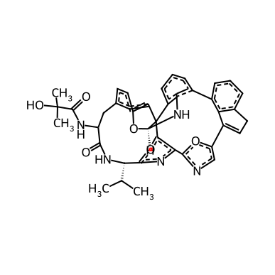 CC(C)[C@@H]1NC(=O)C(NC(=O)C(C)(C)O)Cc2ccc3c(c2)C24c5cccc(c5N[C@H]2O3)-c2cccc3c2C(=CC3)c2cnc(o2)-c2nc1oc24